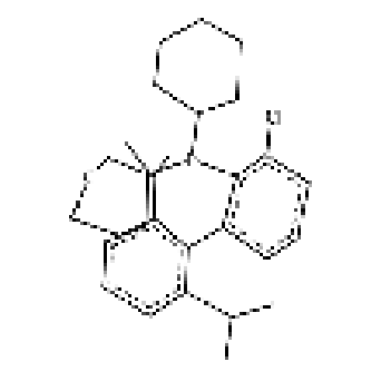 CC(C)c1cccc(C(C)C)c1-c1cccc(Cl)c1P(C1CCCCC1)C1CCCCC1